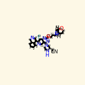 Cc1cccc2cncc(-c3ncc4c(N5CCN[C@@H](CC#N)C5)nc(OCCCN5C[C@@H]6C[C@H]5CCO6)nc4c3F)c12